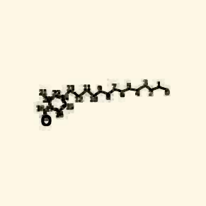 CCCCCCCCCCCCCCc1ccc(C=O)c(C)c1